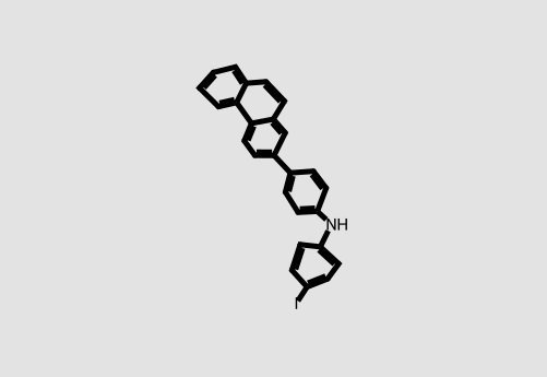 Ic1ccc(Nc2ccc(-c3ccc4c(ccc5ccccc54)c3)cc2)cc1